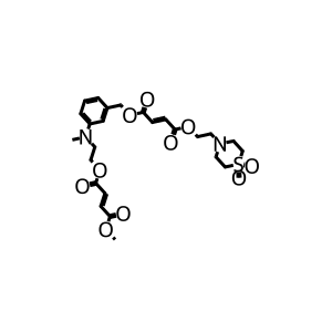 COC(=O)/C=C/C(=O)OCCN(C)c1cccc(COC(=O)/C=C/C(=O)OCCN2CCS(=O)(=O)CC2)c1